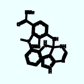 CNC(=O)c1ccc(NC2(Nc3ccccc3P(C)C)NC=Nc3[nH]ccc32)c(OC)c1